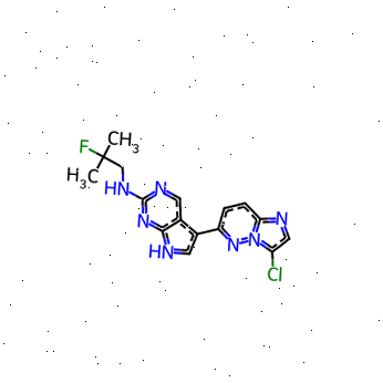 CC(C)(F)CNc1ncc2c(-c3ccc4ncc(Cl)n4n3)c[nH]c2n1